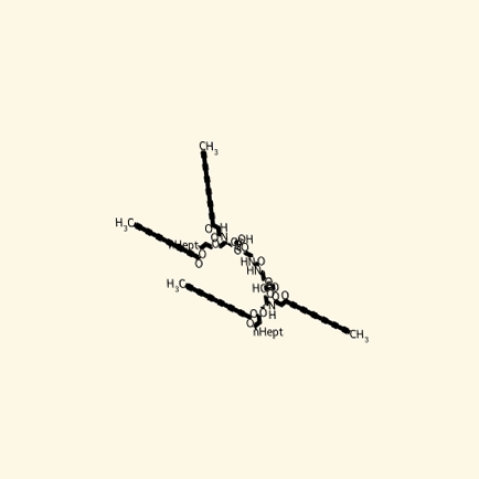 CC#CC#CC#CC#CC#CC#CC(=O)CC(=O)N[C@H](COCC[C@@H](CCCCCCC)OC(=O)C#CC#CC#CC#CC#CC#CC)COP(=O)(O)OCCNC(=O)NCCOP(=O)(O)OC[C@@H](COCC[C@@H](CCCCCCC)OC(=O)C#CC#CC#CC#CC#CC#CC)NC(=O)CC(=O)C#CC#CC#CC#CC#CC#CC